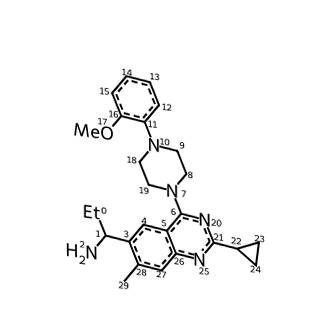 CCC(N)c1cc2c(N3CCN(c4ccccc4OC)CC3)nc(C3CC3)nc2cc1C